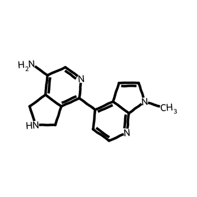 Cn1ccc2c(-c3ncc(N)c4c3CNC4)ccnc21